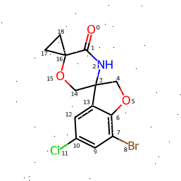 O=C1NC2(COc3c(Br)cc(Cl)cc32)COC12CC2